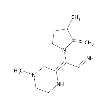 C=C1C(C)CCN1/C(C=N)=C1\CN(C)CCN1